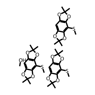 CO.CSc1c2c(cc3c1OC(C)(C)O3)OC(C)(C)O2.CSc1c2c(cc3c1OC(C)(C)O3)OC(C)(C)O2.CSc1c2c(cc3c1OC(C)(C)O3)OC(C)(C)O2